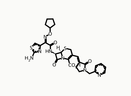 Nc1nc(/C(=N/OC2CCCC2)C(=O)N[C@@H]2C(=O)N3C(C(=O)O)=C(C=C4CCN(Cc5ccccn5)C4=O)CS[C@H]23)cs1